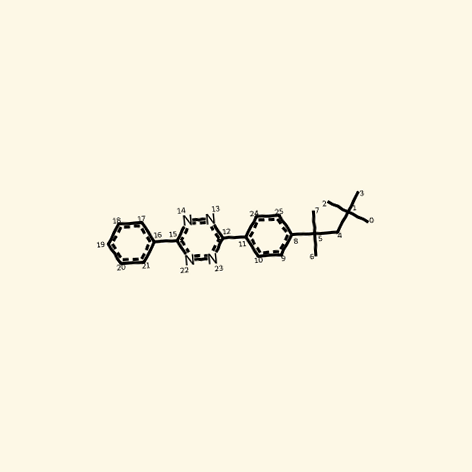 CC(C)(C)CC(C)(C)c1ccc(-c2nnc(-c3ccccc3)nn2)cc1